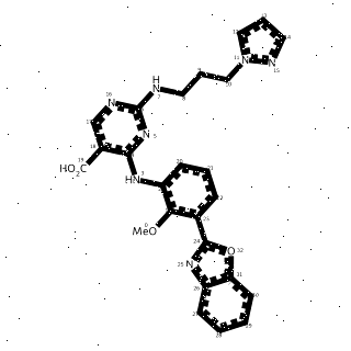 COc1c(Nc2nc(NCCCn3cccn3)ncc2C(=O)O)cccc1-c1nc2ccccc2o1